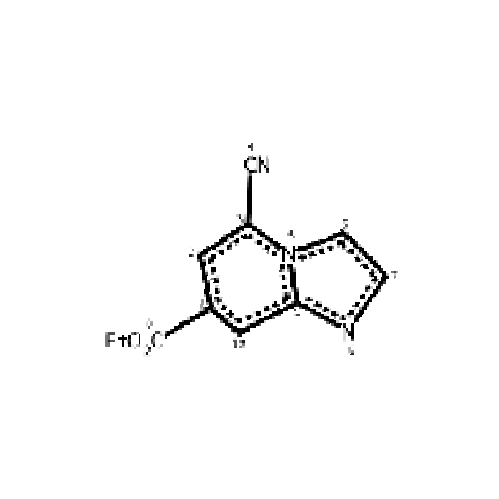 CCOC(=O)c1cc(C#N)n2ccnc2c1